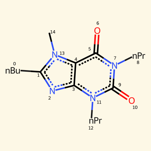 CCCCc1nc2c(c(=O)n(CCC)c(=O)n2CCC)n1C